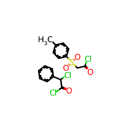 Cc1ccc(S(=O)(=O)CC(=O)Cl)cc1.O=C(Cl)C(Cl)c1ccccc1